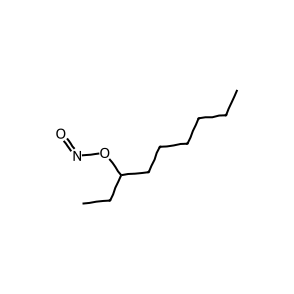 CCCCCCC(CC)ON=O